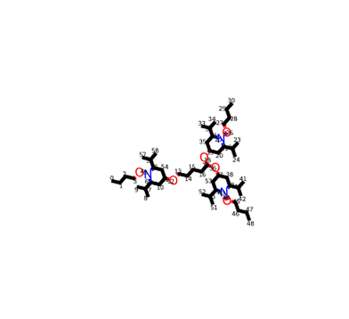 CCCCON1C(C(C)C)CC(OCCCCC(OC2CC(C(C)C)N(OCCCC)C(C(C)C)C2)OC2CC(C(C)C)N(OCCCC)C(C(C)C)C2)CC1C(C)C